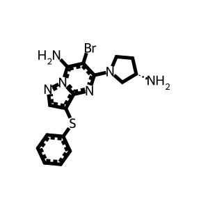 Nc1c(Br)c(N2CC[C@H](N)C2)nc2c(Sc3ccccc3)cnn12